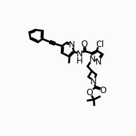 Cc1cc(C#Cc2ccccc2)cnc1NC(=O)c1c(Cl)cnn1CC1CN(C(=O)OC(C)(C)C)C1